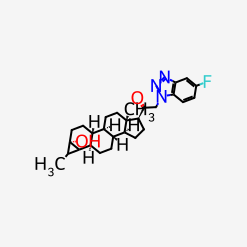 CC1C2[C@@H]3CC[C@@H]4[C@H](CC[C@]5(C)[C@@H](C(=O)Cn6nnc7cc(F)ccc76)CC[C@@H]45)[C@H]3CC[C@]12O